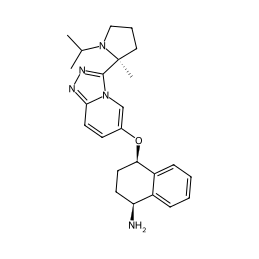 CC(C)N1CCC[C@@]1(C)c1nnc2ccc(O[C@@H]3CC[C@H](N)c4ccccc43)cn12